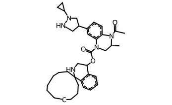 CC(=O)N1c2ccc(C3CNN(C4CC4)C3)cc2N(C(=O)OC2CNC3(CCCCCCCCCC3)c3ccccc32)C[C@@H]1C